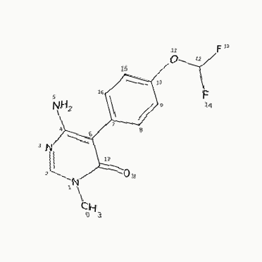 Cn1cnc(N)c(-c2ccc(OC(F)F)cc2)c1=O